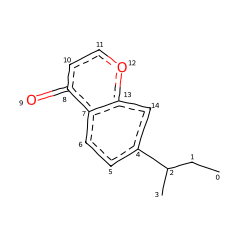 CCC(C)c1ccc2c(=O)ccoc2c1